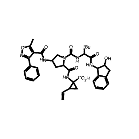 C=CC1CC1(NC(=O)C1CC(NC(=O)c2c(-c3ccccc3)noc2C)CN1C(=O)NC(C(=O)NC1c2ccccc2CC1O)C(C)(C)C)C(=O)O